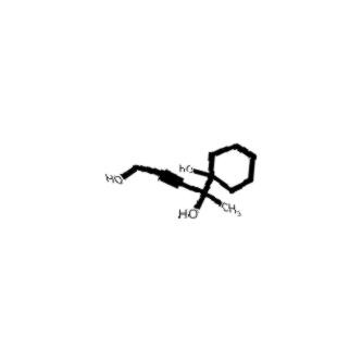 CC(O)(C#CCO)C1(O)CCCCC1